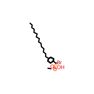 CCCCCCCCCCCCCCCc1ccc(C(Br)P(=O)(O)OCC)cc1